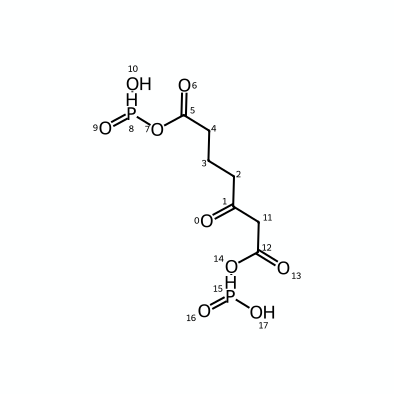 O=C(CCCC(=O)O[PH](=O)O)CC(=O)O[PH](=O)O